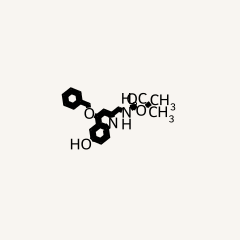 CC(C)(C)OC(=O)NCc1cc(OCc2ccccc2)c2cc(O)ccc2n1